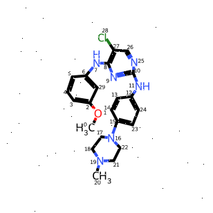 COc1cccc(Nc2nc(Nc3ccc(N4CCN(C)CC4)cc3)ncc2Cl)c1